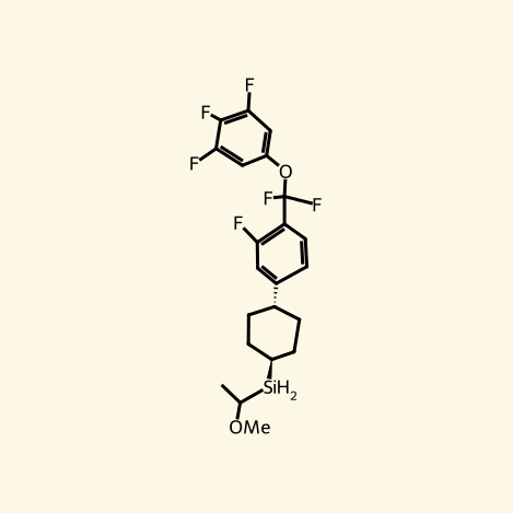 COC(C)[SiH2][C@H]1CC[C@H](c2ccc(C(F)(F)Oc3cc(F)c(F)c(F)c3)c(F)c2)CC1